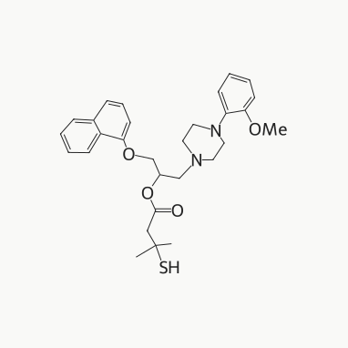 COc1ccccc1N1CCN(CC(COc2cccc3ccccc23)OC(=O)CC(C)(C)S)CC1